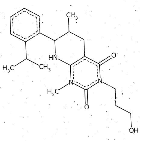 CC(C)c1ccccc1C1Nc2c(c(=O)n(CCCO)c(=O)n2C)CC1C